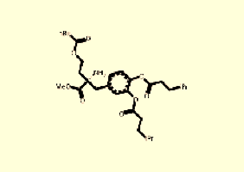 CCCCC(=O)OCC[C@@](N)(Cc1ccc(OC(=O)CCC(C)C)c(OC(=O)CCC(C)C)c1)C(=O)OC